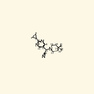 N#CC(c1cnc(C2CC2)nc1)N1CCC(F)(F)CC1